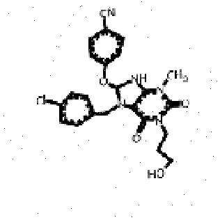 Cn1c2c(c(=O)n(CCCO)c1=O)N(Cc1ccc(Cl)cc1)C(Oc1ccc(C#N)cc1)N2